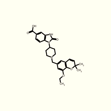 CCOc1cc(CN2CCC(n3c(=O)[nH]c4cc(C(=O)O)ccc43)CC2)cc2c1OC(C)(C)C=C2